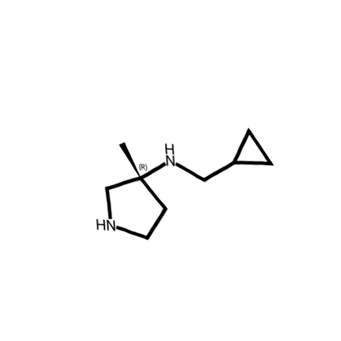 C[C@@]1(NCC2CC2)CCNC1